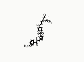 CCOC(CCNC1CCN(S(=O)(=O)c2ccc(CNC(=O)c3cccc(OC)c3)s2)CC1)OCC